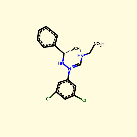 C[C@H](N[N+](=CNCC(=O)O)c1cc(Cl)cc(Cl)c1)c1ccccc1